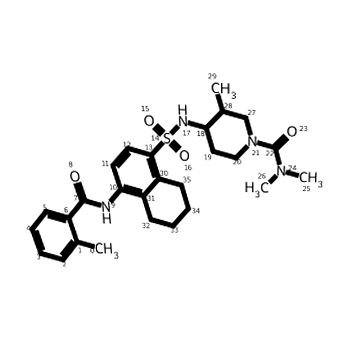 Cc1ccccc1C(=O)Nc1ccc(S(=O)(=O)NC2CCN(C(=O)N(C)C)CC2C)c2c1CCCC2